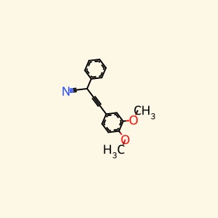 COc1ccc(C#CC(C#N)c2ccccc2)cc1OC